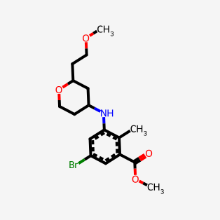 COCCC1CC(Nc2cc(Br)cc(C(=O)OC)c2C)CCO1